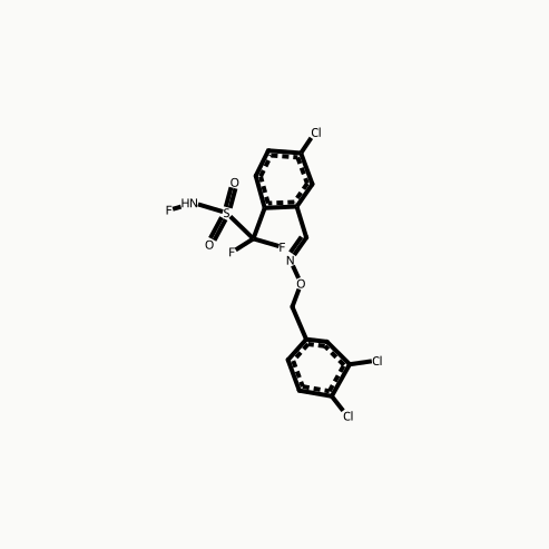 O=S(=O)(NF)C(F)(F)c1ccc(Cl)cc1/C=N/OCc1ccc(Cl)c(Cl)c1